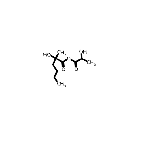 CCCCC(C)(O)C(=O)OC(=O)C(C)O